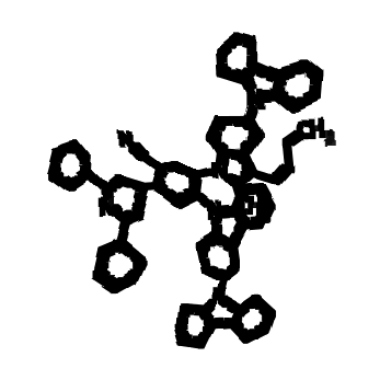 C=C/C=C\c1c(C)n(-c2cc(C#N)c(-c3cc(-c4ccccc4)nc(-c4ccccc4)c3)cc2-n2c3ccccc3c3cc(-n4c5ccccc5c5ccccc54)ccc32)c2ccc(-n3c4ccccc4c4ccccc43)cc12